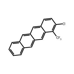 FC(F)(F)c1c(Cl)ccc2cc3cc4ccccc4cc3cc12